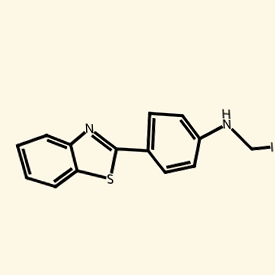 ICNc1ccc(-c2nc3ccccc3s2)cc1